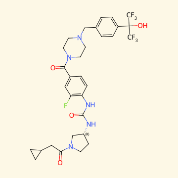 O=C(Nc1ccc(C(=O)N2CCN(Cc3ccc(C(O)(C(F)(F)F)C(F)(F)F)cc3)CC2)cc1F)N[C@@H]1CCN(C(=O)CC2CC2)C1